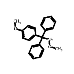 CONC(c1ccccc1)(c1ccccc1)c1ccc(OC)cc1